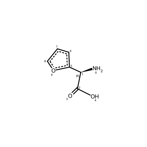 N[C@@H](C(=O)O)c1ccco1